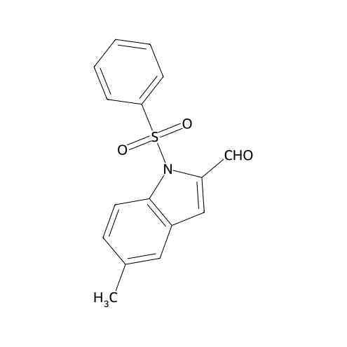 Cc1ccc2c(c1)cc(C=O)n2S(=O)(=O)c1ccccc1